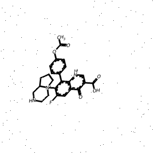 CC(=O)Oc1ccc(-c2c([N+]34CCCC3CNCC4)c(F)cc3c(=O)c(C(=O)O)c[nH]c23)cc1